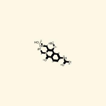 CCCCOc1c(CNC(=O)O)n(CC(C)C)c(=O)c2ccc(NC(=O)CC)cc12